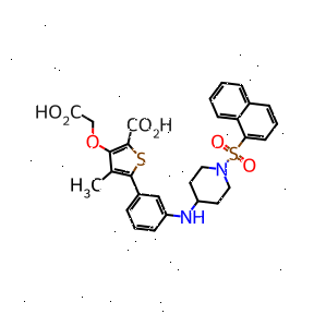 Cc1c(-c2cccc(NC3CCN(S(=O)(=O)c4cccc5ccccc45)CC3)c2)sc(C(=O)O)c1OCC(=O)O